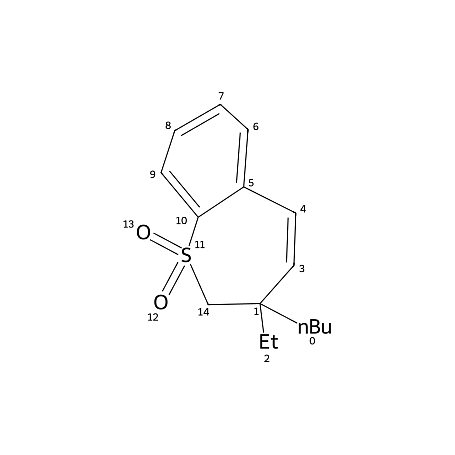 CCCCC1(CC)C=Cc2ccccc2S(=O)(=O)C1